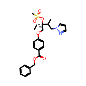 CC[C@](COc1ccc(C(=O)OCc2ccccc2)cc1)(OS(C)(=O)=O)C(C)Cn1cccn1